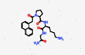 NCCCC[C@H](NC(=O)[C@@H]1CCCN1C(=O)Cc1cccc2ccccc12)C(=O)NCC(N)=O